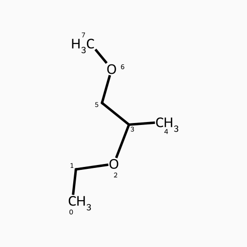 CCOC(C)COC